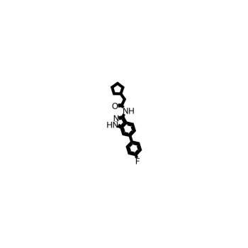 O=C(CC1CCCC1)Nc1n[nH]c2cc(-c3ccc(F)cc3)ccc12